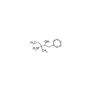 CCC(C)(N)C(O)Cc1ccccc1